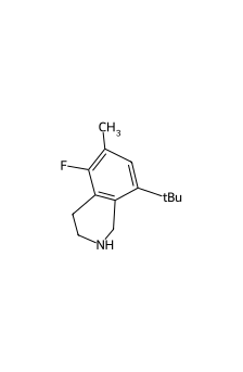 Cc1cc(C(C)(C)C)c2c(c1F)CCNC2